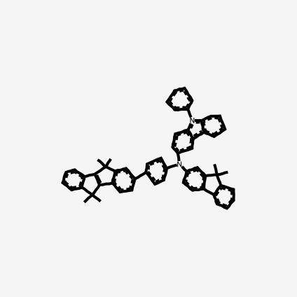 CC1(C)C2=C(c3ccccc31)C(C)(C)c1cc(-c3ccc(N(c4ccc5c(c4)C(C)(C)c4ccccc4-5)c4ccc5c(c4)c4ccccc4n5-c4ccccc4)cc3)ccc12